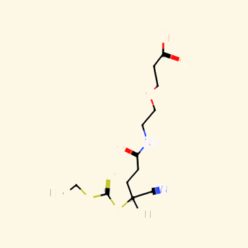 CCSC(=S)SC(C)(C#N)CCC(=O)NCCOCCC(=O)O